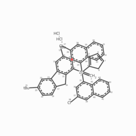 Cl.Cl.[CH2]=[Zr]([C]1=CC=CC1)([c]1cc(C(C)(C)C)cc2c1Cc1ccc(C(C)(C)C)cc1-2)([c]1cc(Cl)cc2ccccc12)[c]1cc(Cl)cc2ccccc12